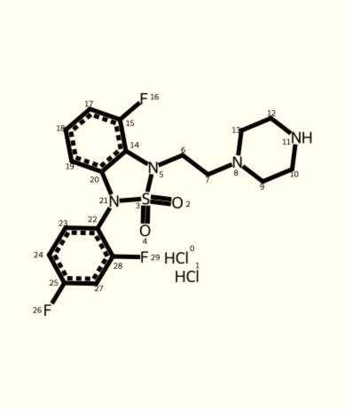 Cl.Cl.O=S1(=O)N(CCN2CCNCC2)c2c(F)cccc2N1c1ccc(F)cc1F